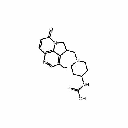 O=C(O)NC1CCN(CC2Cn3c(=O)ccc4ncc(F)c2c43)CC1